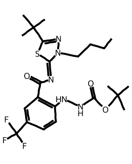 CCCCn1nc(C(C)(C)C)sc1=NC(=O)c1cc(C(F)(F)F)ccc1NNC(=O)OC(C)(C)C